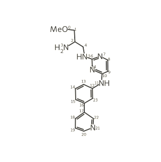 COCC(N)CNc1nccc(Nc2cccc(-c3cccnc3)c2)n1